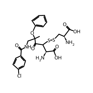 CC(CNC(=O)c1ccc(Cl)cc1)(Oc1ccccc1)C(=O)C(SSC[C@H](N)C(=O)O)[C@H](N)C(=O)O